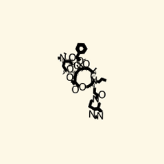 CCCN1C[C@H](C)C[C@@](C)(OC)[C@H](O[C@@H]2O[C@H](C)C[C@H](N(C)C)[C@H]2OC(=O)c2ccccc2)[C@@H](C)C(=O)C(C)(C)C(=O)OC[C@H]1CCC(=O)N1CCc2ncncc2C1